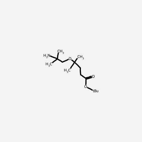 CC(C)(N)COC(C)(C)CCC(=O)OC(C)(C)C